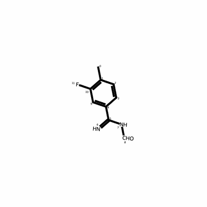 Cc1ccc(C(=N)NC=O)cc1F